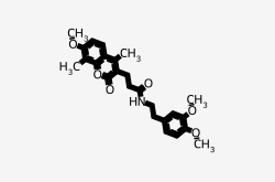 COc1ccc(CCNC(=O)CCc2c(C)c3ccc(OC)c(C)c3oc2=O)cc1OC